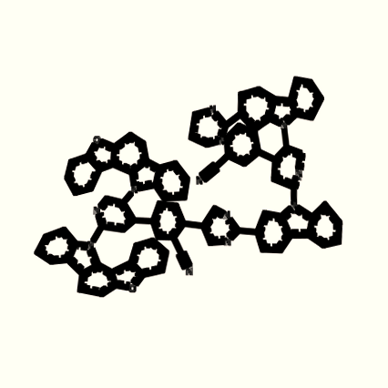 N#Cc1cccc(-c2cc(-n3c4ccccc4c4ccc(-c5ncc(-c6ccc(-c7cc(-n8c9ccccc9c9ccc%10oc%11ccccc%11c%10c98)ncc7-n7c8ccccc8c8ccc9oc%10ccccc%10c9c87)cc6C#N)cn5)cc43)ncc2-n2c3ccccc3c3ccc(-c4ncccn4)cc32)c1